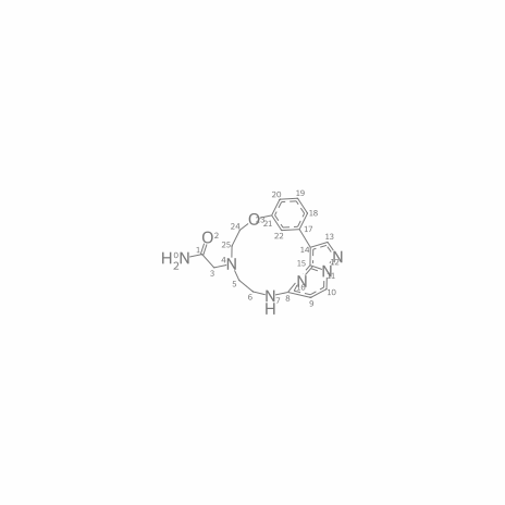 NC(=O)CN1CCNc2ccn3ncc(c3n2)-c2cccc(c2)OCC1